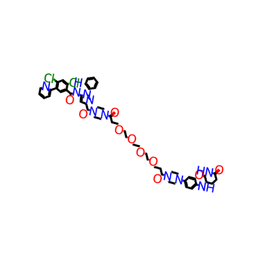 O=C1CCC(Nc2ccc(N3CCN(C(=O)CCOCCOCCOCCOCCC(=O)N4CCN(C(=O)c5cc(NC(=O)c6cc(-c7ccccn7)c(Cl)cc6Cl)n(-c6ccccc6)n5)CC4)CC3)cc2)C(=O)N1